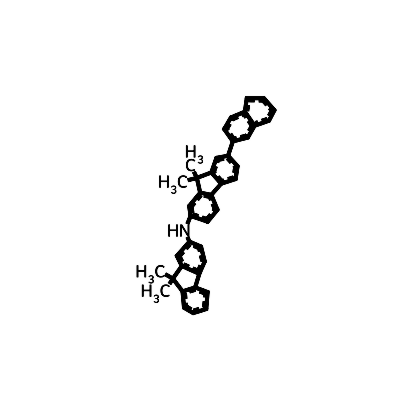 CC1(C)c2ccccc2-c2ccc(Nc3ccc4c(c3)C(C)(C)c3cc(-c5ccc6ccccc6c5)ccc3-4)cc21